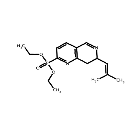 CCOP(=O)(OCC)c1ccc2c(n1)CC(C=C(C)C)N=C2